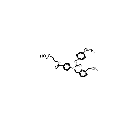 O=C(O)CCNC(=O)c1ccc(N(Cc2cccc(CC(F)(F)F)c2)C(=O)Oc2ccc(OC(F)(F)F)cc2)cc1